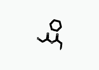 C1CCCCC1.O=C(CF)OC(=O)CF